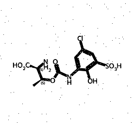 C[C@H](OC(=O)Nc1cc(Cl)cc(S(=O)(=O)O)c1O)[C@H](N)C(=O)O